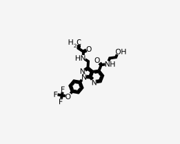 C=CC(=O)NCc1nn(-c2ccc(OC(F)(F)F)cc2)c2nccc(C(=O)NCCO)c12